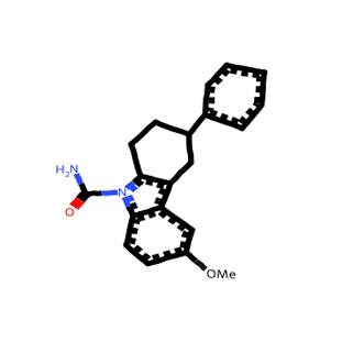 COc1ccc2c(c1)c1c(n2C(N)=O)CCC(c2ccccc2)C1